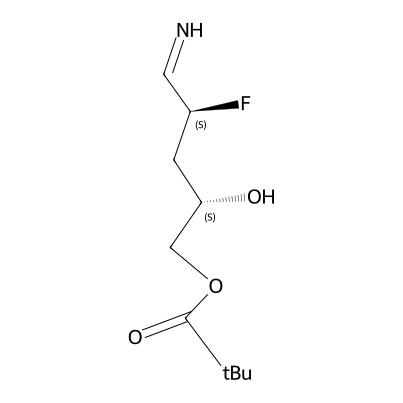 CC(C)(C)C(=O)OC[C@@H](O)C[C@H](F)C=N